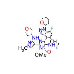 COC(=O)c1nc(-c2cn(C)nc2NC2CCOCC2)nc(-c2c(C)cc(F)c3c2cnn3C2CCCCO2)c1N